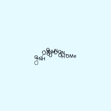 COCCNC(=O)Oc1ccc(C(=O)NS(=O)(=O)c2cccc(CCNC(=O)C3CCCCC3)c2)cn1